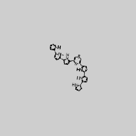 C1=C(c2ccc(-c3ccc(-c4ccc[nH]4)[nH]3)[nH]2)SC(c2ccc(-c3ccc(-c4ccc[nH]4)[nH]3)[nH]2)=CS1